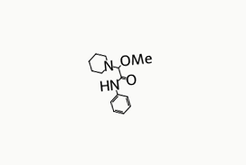 COC(C(=O)Nc1ccccc1)N1CCCCC1